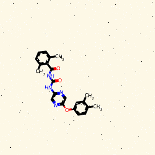 Cc1ccc(Oc2cnc(NC(=O)NC(=O)c3c(C)cccc3C)cn2)cc1C